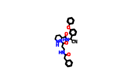 N#CC(NC(=O)[C@@H]1CCCNN1C(=O)CCNC(=O)Cc1ccccc1)c1cccc(Oc2ccccc2)c1